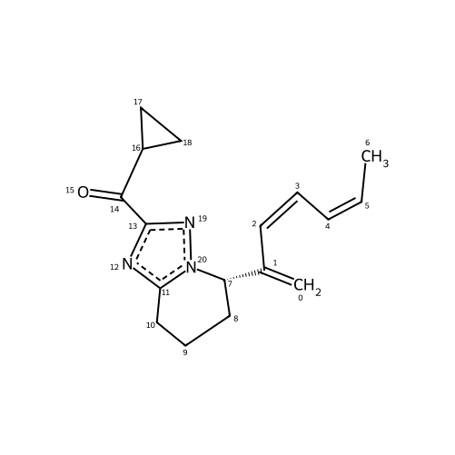 C=C(/C=C\C=C/C)[C@@H]1CCCc2nc(C(=O)C3CC3)nn21